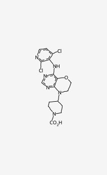 O=C(O)N1CCC(N2CCOc3c(Nc4c(Cl)ccnc4Cl)ncnc32)CC1